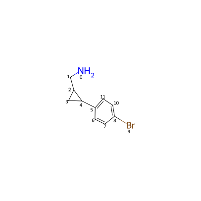 NCC1CC1c1ccc(Br)cc1